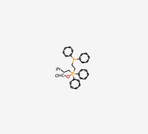 CC(C)CCP(CCP(c1ccccc1)c1ccccc1)(OC=O)(c1ccccc1)c1ccccc1